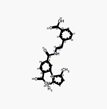 Cc1ccc(C)n1-c1cc(C(=O)N/C=C/c2cccc(C(=O)O)c2)ccc1C(=O)O